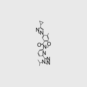 Cc1cc2c(cc1-n1cnc(C3CC3)c1)C(=O)N(c1cccc(-c3nncn3C(C)C)n1)CO2